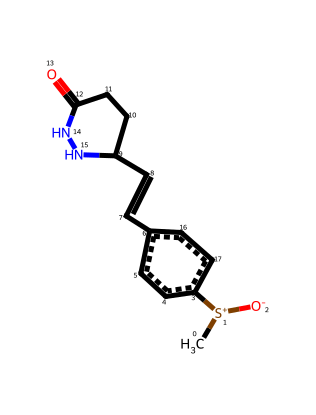 C[S+]([O-])c1ccc(/C=C/C2CCC(=O)NN2)cc1